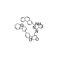 N/C(=N\C(=N/CC1=COCc2oc3c(c21)CC(C1=CCC2OC4C=C(C=CCC4)C2C1)C=C3)C1C=CCCC1)C1=CC2C=CC3C=CC=CC3C2C=C1